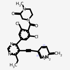 C=C(N)/C=C\C(C#Cc1c(CC)ncnc1-c1cc(Cl)c(C(=O)N2CCN(C)C(=O)C2)c(Cl)c1)=C/N